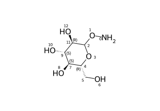 NOC1O[C@H](CO)[C@@H](O)[C@H](O)[C@H]1O